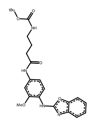 COc1cc(NC(=O)CCCNC(=O)OC(C)(C)C)ccc1Nc1nc2ccccc2o1